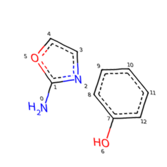 Nc1ncco1.Oc1ccccc1